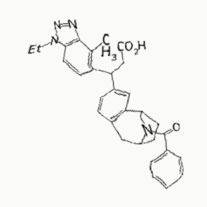 CCn1nnc2c(C)c(C(CC(=O)O)c3ccc4c(c3)C3CCC(C4)N3C(=O)c3ccccc3)ccc21